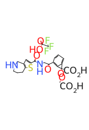 O=C(O)C(F)(F)F.O=C(O)COOC1(C(=O)O)c2cccc(C(=O)CNC(=O)c3cc4c(s3)CCCNC4)c21